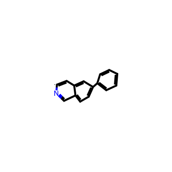 [c]1cc2cc(-c3ccccc3)ccc2cn1